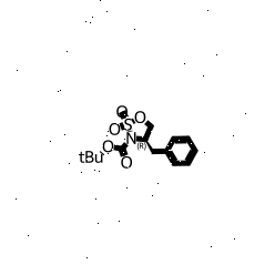 CC(C)(C)OC(=O)N1[C@H](Cc2ccccc2)COS1(=O)=O